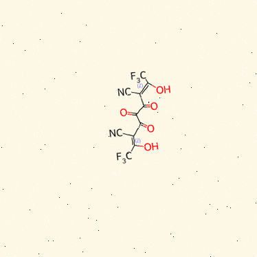 N#C/C(C(=O)C(=O)C(=O)/C(C#N)=C(\O)C(F)(F)F)=C(/O)C(F)(F)F